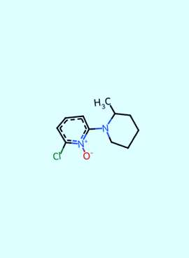 CC1CCCCN1c1cccc(Cl)[n+]1[O-]